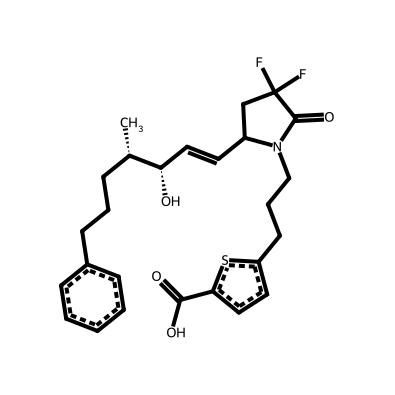 C[C@@H](CCCc1ccccc1)[C@@H](O)/C=C/C1CC(F)(F)C(=O)N1CCCc1ccc(C(=O)O)s1